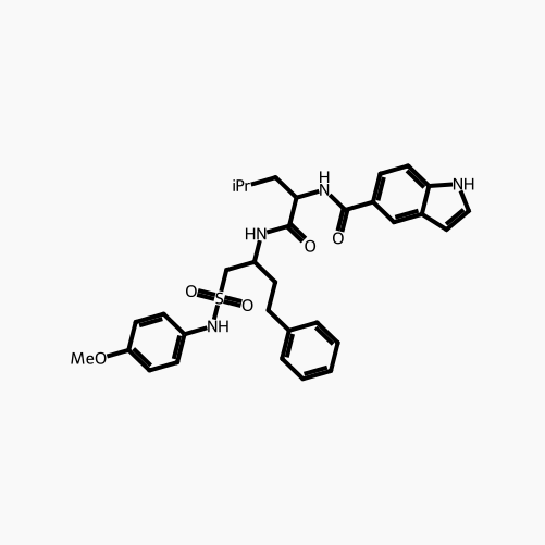 COc1ccc(NS(=O)(=O)CC(CCc2ccccc2)NC(=O)C(CC(C)C)NC(=O)c2ccc3[nH]ccc3c2)cc1